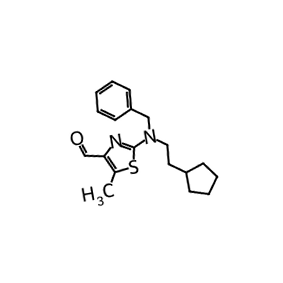 Cc1sc(N(CCC2CCCC2)Cc2ccccc2)nc1C=O